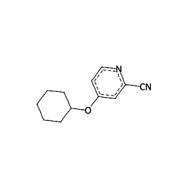 N#Cc1cc(OC2CCCCC2)ccn1